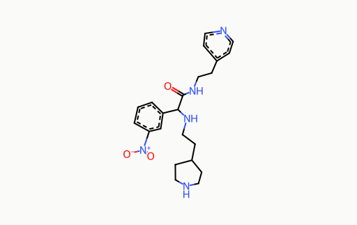 O=C(NCCc1ccncc1)C(NCCC1CCNCC1)c1cccc([N+](=O)[O-])c1